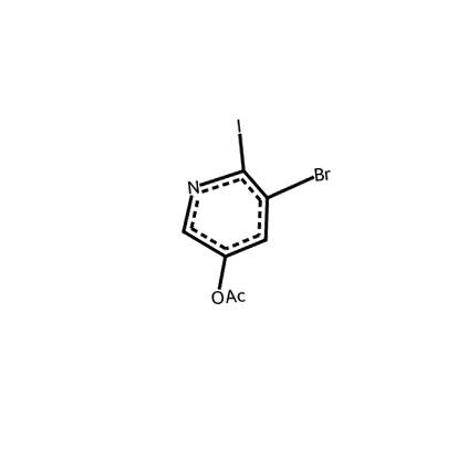 CC(=O)Oc1cnc(I)c(Br)c1